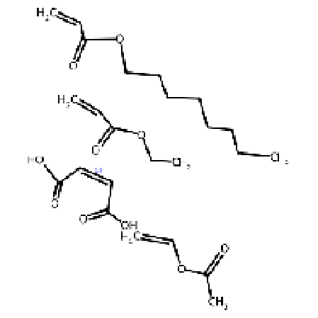 C=CC(=O)OCC.C=CC(=O)OCCCCCCCC.C=COC(C)=O.O=C(O)/C=C\C(=O)O